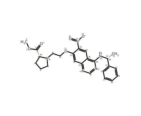 COC(=O)[C@H]1CCCN1CCOc1cc2ncnc(N[C@H](C)c3ccccc3)c2cc1[N+](=O)[O-]